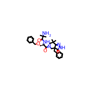 CC(C)(N)C(=O)N[C@H](COCc1ccccc1)C(=O)N1CC(C)(C)C2=NNC(=O)C2(Cc2ccccc2)C1